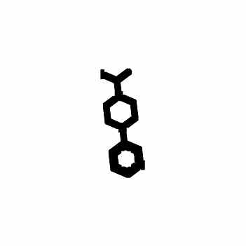 CC(I)N1CCN(c2cccnc2)CC1